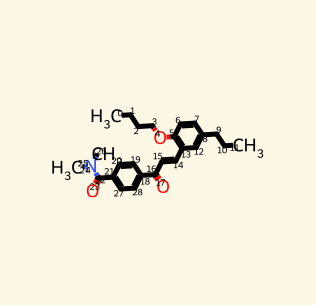 CCCCOc1ccc(CCC)cc1C=CC(=O)c1ccc(C(=O)N(C)C)cc1